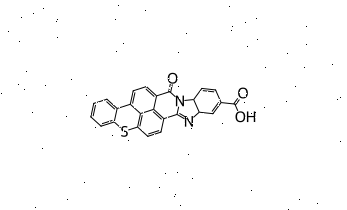 O=C(O)C1=CC2N=c3c4ccc5c6c(ccc(c(=O)n3C2C=C1)c64)-c1ccccc1S5